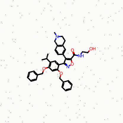 CC(C)c1cc(-c2noc(C(=O)NCCO)c2-c2ccc3c(c2)CCN(C)C3)c(OCc2ccccc2)cc1OCc1ccccc1